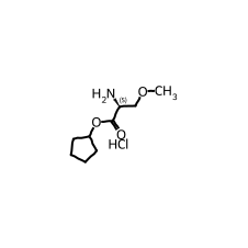 COC[C@H](N)C(=O)OC1CCCC1.Cl